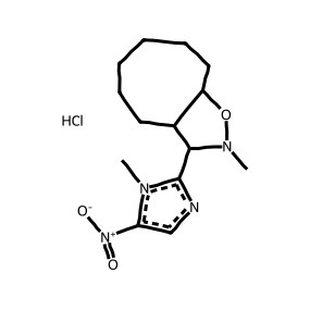 CN1OC2CCCCCCC2C1c1ncc([N+](=O)[O-])n1C.Cl